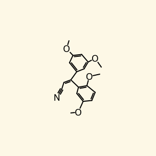 COc1cc(OC)cc(C(=CC#N)c2cc(OC)ccc2OC)c1